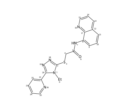 CCn1c(SCC(=O)Nc2cccc3cccnc23)nnc1-c1ccccn1